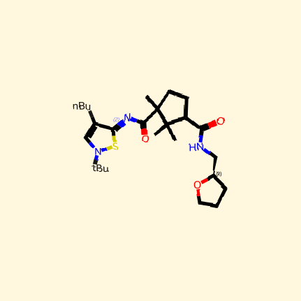 CCCCc1cn(C(C)(C)C)s/c1=N\C(=O)C1(C)CCC(C(=O)NC[C@H]2CCCO2)C1(C)C